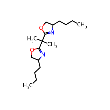 CCCCC1COC(C(C)(C)C2=NC(CCCC)CO2)=N1